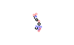 CN1C(=O)OCC1Cc1ccc(Oc2ccc(Nc3ncccc3[N+](=O)[O-])cc2)cc1